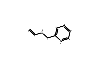 C=COCc1ccccn1